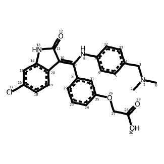 CN(C)Cc1ccc(N/C(=C2\C(=O)Nc3cc(Cl)ccc32)c2cccc(OCC(=O)O)c2)cc1